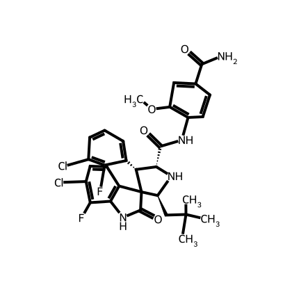 COc1cc(C(N)=O)ccc1NC(=O)[C@@H]1N[C@@H](CC(C)(C)C)C2(C(=O)Nc3c2ccc(Cl)c3F)[C@@H]1c1cccc(Cl)c1F